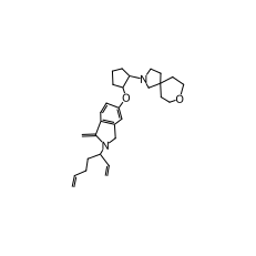 C=CCCC(C=C)N1Cc2cc(OC3CCCC3N3CCC4(CCOCC4)C3)ccc2C1=C